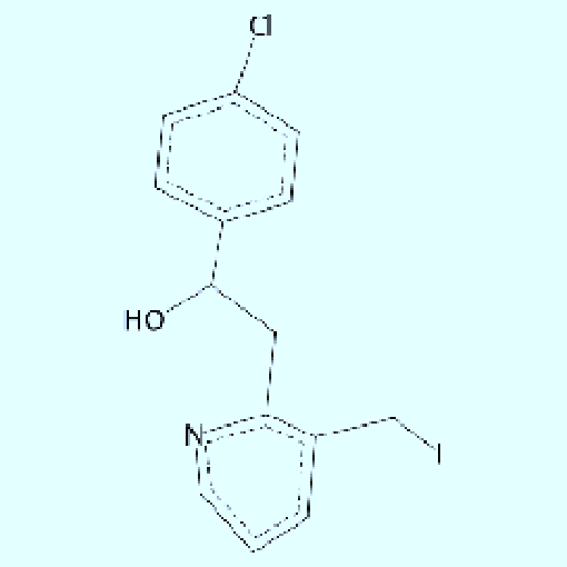 OC(Cc1ncccc1CI)c1ccc(Cl)cc1